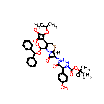 CC(C)Oc1c(C2=C(C(=O)OC(c3ccccc3)c3ccccc3)N3C(=O)C(NC(=O)C(NC(=O)OC(C)(C)C)c4ccc(O)cc4)[C@@H]3SC2)c(=O)c1=O